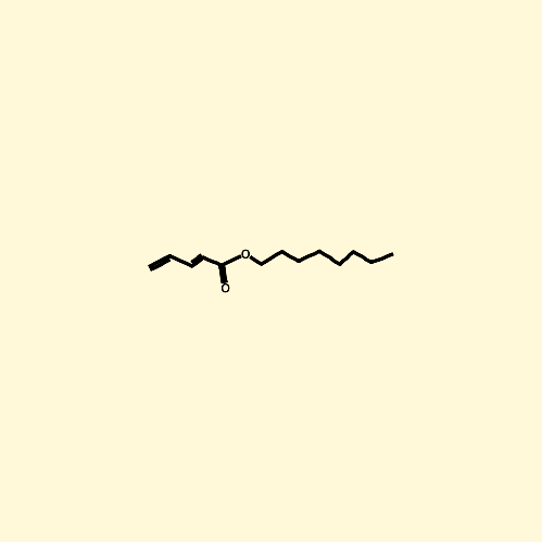 C=CC=CC(=O)OCCCCCCCC